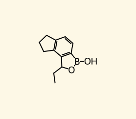 CCC1OB(O)c2ccc3c(c21)CCC3